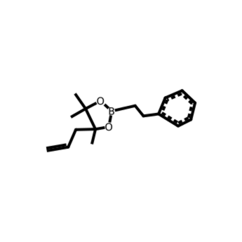 C=CCC1(C)OB(CCc2ccccc2)OC1(C)C